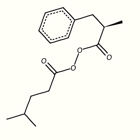 CC(C)CCC(=O)OOC(=O)[C@H](C)Cc1ccccc1